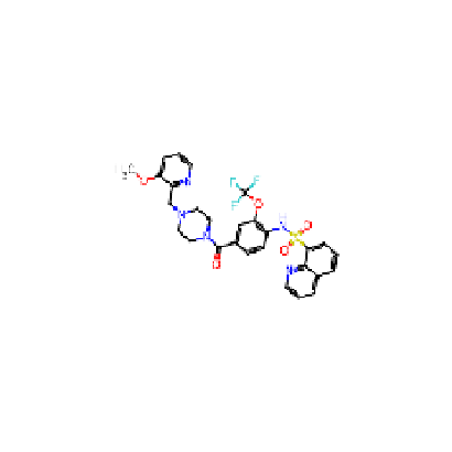 COc1cccnc1CN1CCN(C(=O)c2ccc(NS(=O)(=O)c3cccc4cccnc34)c(OC(F)(F)F)c2)CC1